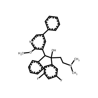 COc1ncc(-c2ccccc2)cc1C(c1ccccc1)C(O)(CCN(C)C)c1cc(F)cc(F)c1